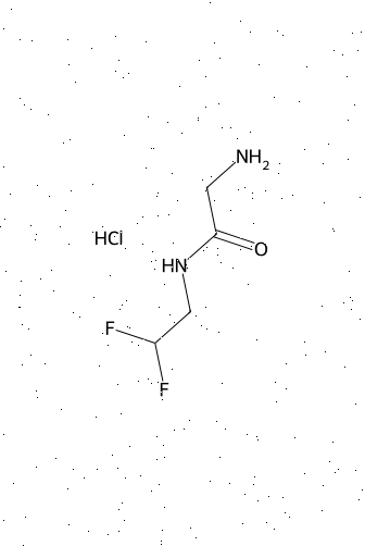 Cl.NCC(=O)NCC(F)F